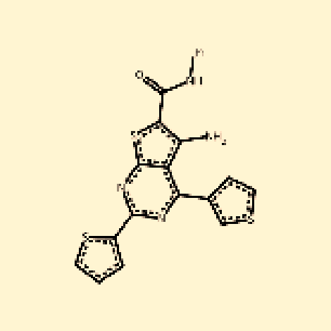 CC(C)NC(=O)c1sc2nc(-c3cccs3)nc(-c3ccsc3)c2c1N